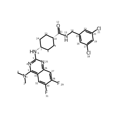 CN(C)c1nc(N[C@H]2CC[C@@H](C(=O)NCc3cc(Cl)cc(Cl)c3)CC2)nc2cc(F)c(F)cc12